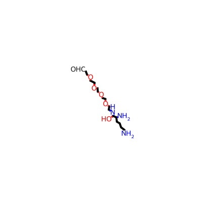 NCCCCC(N)C(O)NCCOCCOCCOCCOCCC=O